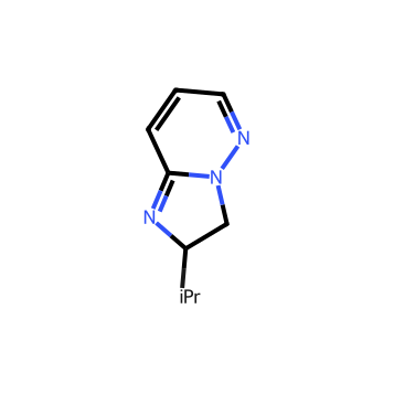 CC(C)C1CN2N=CC=CC2=N1